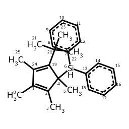 CC1=C(C)C(C)([SiH](c2ccccc2)c2ccccc2)C(C(C)(C)C)=C1C